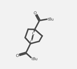 CC(C)(C)C(=O)C12CCC(C(=O)C(C)(C)C)(CC1)CC2